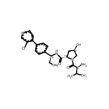 CC(C)[C@H](N)C(=O)N1C[C@H](O)C[C@H]1C(=O)N[C@@H](CO)c1ccc(-c2ccncc2Cl)cc1